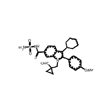 COc1ccc(-c2c(C3CCCCC3)c3ccc(C(=O)NS(N)(=O)=O)cc3n2CC2(C=O)CC2)cc1